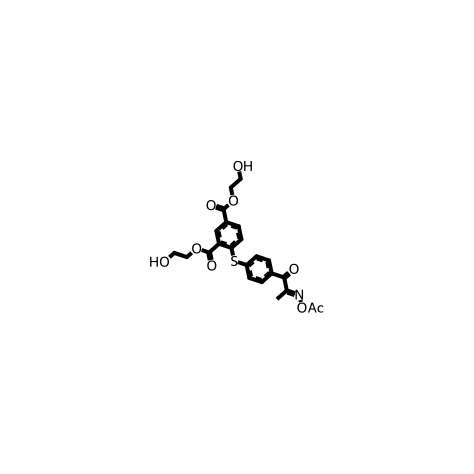 CC(=O)O/N=C(\C)C(=O)c1ccc(Sc2ccc(C(=O)OCCO)cc2C(=O)OCCO)cc1